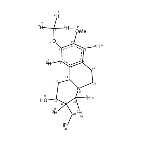 [2H]c1c2c(c([2H])c(OC([2H])([2H])[2H])c1OC)C1CC(O)C([2H])(CC(C)C)C([2H])([2H])N1CC2